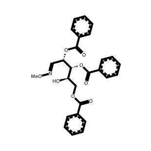 CON=C[C@H](OC(=O)c1ccccc1)[C@H](OC(=O)c1ccccc1)[C@H](O)COC(=O)c1ccccc1